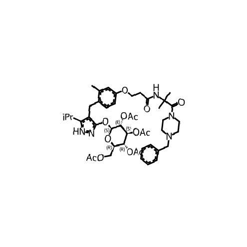 CC(=O)OC[C@H]1O[C@@H](Oc2n[nH]c(C(C)C)c2Cc2ccc(OCCC(=O)NC(C)(C)C(=O)N3CCN(Cc4ccccc4)CC3)cc2C)[C@H](OC(C)=O)[C@@H](OC(C)=O)[C@@H]1OC(C)=O